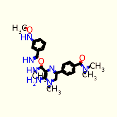 CNC(OC(=N)c1cccc(NOC)c1)C1=C(N)N(C)CC(c2ccc(C(=O)N(C)C)cc2)=N1